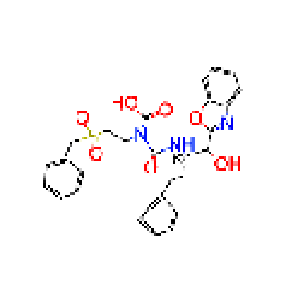 O=C(O)N(CCS(=O)(=O)Cc1ccccc1)C(=O)N[C@@H](CCc1ccccc1)C(O)c1nc2ccccc2o1